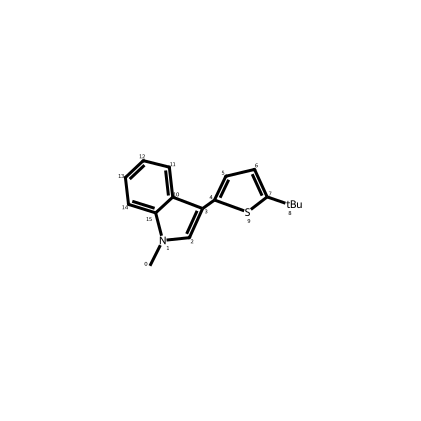 Cn1cc(-c2ccc(C(C)(C)C)s2)c2ccccc21